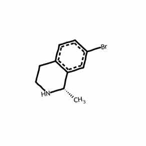 C[C@@H]1NCCc2ccc(Br)cc21